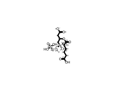 C[N+](C)(C)CC(CC(=O)[O-])OC(=O)CCCCC(=O)O.O=S(=O)(O)O